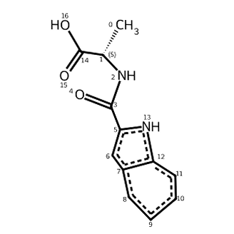 C[C@H](NC(=O)c1cc2ccccc2[nH]1)C(=O)O